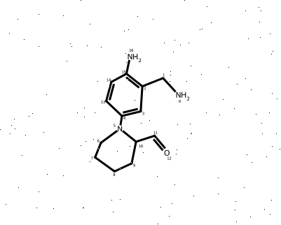 NCc1cc(N2CCCCC2C=O)ccc1N